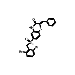 O=C1Nc2cc(S(=O)(=O)Cc3c(Br)cccc3Br)ccc2S/C1=C\c1ccccc1